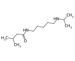 CC(C)CC(=O)NCCCCCNC(C)C